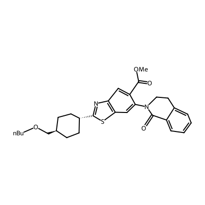 CCCCOC[C@H]1CC[C@H](c2nc3cc(C(=O)OC)c(N4CCc5ccccc5C4=O)cc3s2)CC1